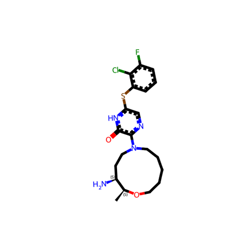 C[C@@H]1OCCCCCN(c2ncc(Sc3cccc(F)c3Cl)[nH]c2=O)CC[C@@H]1N